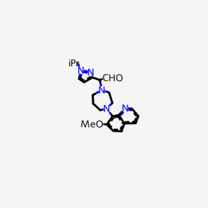 COc1ccc2cccnc2c1N1CCCN(C(C=O)c2ccn(C(C)C)n2)CC1